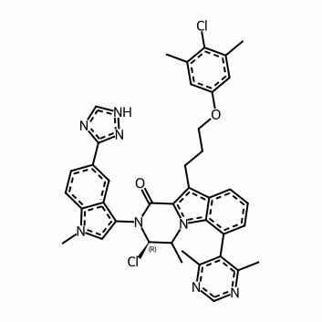 Cc1cc(OCCCc2c3n(c4c(-c5c(C)ncnc5C)cccc24)C(C)[C@@H](Cl)N(c2cn(C)c4ccc(-c5nc[nH]n5)cc24)C3=O)cc(C)c1Cl